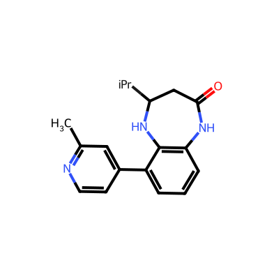 Cc1cc(-c2cccc3c2NC(C(C)C)CC(=O)N3)ccn1